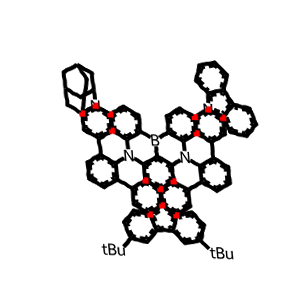 CC(C)(C)c1ccc2c(c1)c1cc(C(C)(C)C)ccc1n2-c1cc2c3c(c1)N(c1c(-c4ccccc4)cccc1-c1ccccc1)c1cc(-n4c5ccccc5c5ccccc54)ccc1B3c1ccc(N3C4CC5CC(C4)CC3C5)cc1N2c1c(-c2ccccc2)cccc1-c1ccccc1